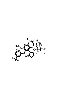 CC(C)c1nc2c(c(C3=CCCC3)c1[C@H](O)c1cccc(C(F)(F)F)c1)[C@@H](O[Si](C)(C)C(C)(C)C)CC(C)(C)C2